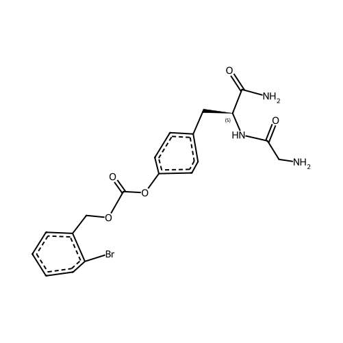 NCC(=O)N[C@@H](Cc1ccc(OC(=O)OCc2ccccc2Br)cc1)C(N)=O